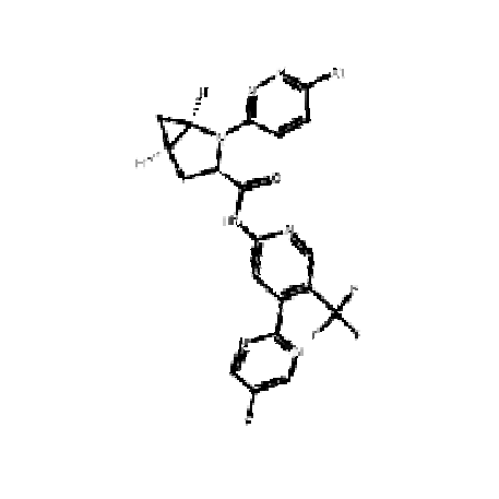 O=C(Nc1cc(-c2ncc(F)cn2)c(C(F)(F)F)cn1)[C@H]1C[C@H]2C[C@H]2N1c1ccc(Cl)nn1